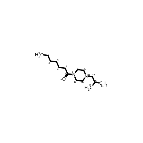 CCCCCCC(=O)N1CCN(CC(C)C)CC1